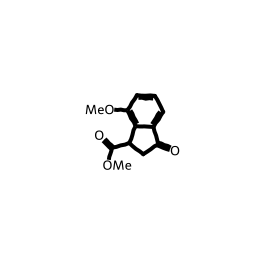 COC(=O)C1CC(=O)c2cccc(OC)c21